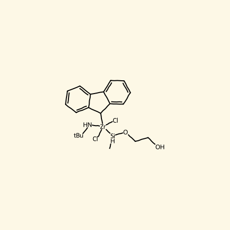 C[SiH](OCCO)[Zr]([Cl])([Cl])([NH]C(C)(C)C)[CH]1c2ccccc2-c2ccccc21